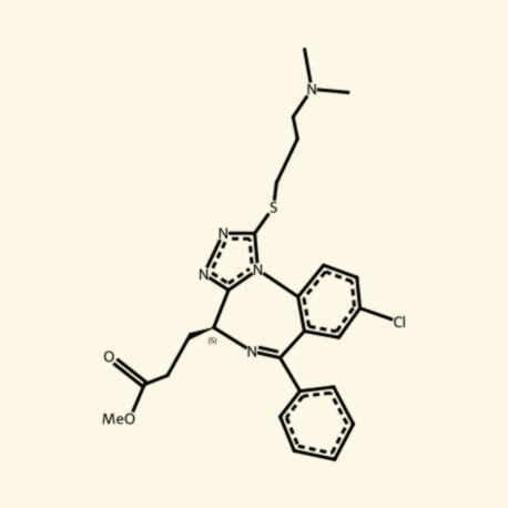 COC(=O)CC[C@@H]1N=C(c2ccccc2)c2cc(Cl)ccc2-n2c(SCCCN(C)C)nnc21